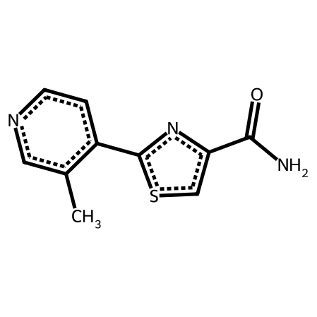 Cc1cnccc1-c1nc(C(N)=O)cs1